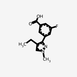 CCc1cn(C)nc1-c1cc(F)cc(C(=O)O)c1